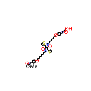 COC(=O)/C=C/c1ccc(OCCCCCCCCN2C(=O)C3=C(c4cccs4)N(CCCCCCCCOc4ccc(/C=C/C(=O)CO)cc4)C(=O)C3=C2c2cccs2)cc1